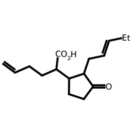 C=CCCC(C(=O)O)C1CCC(=O)C1CC=CCC